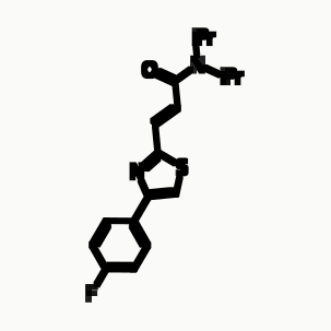 CC(C)N(C(=O)/C=C/c1nc(-c2ccc(F)cc2)cs1)C(C)C